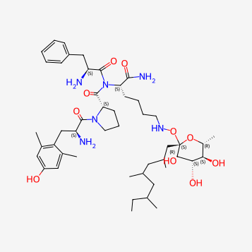 CCC(C)CC(C)CC(C)C[C@@]1(ONCCCC[C@@H](C(N)=O)N(C(=O)[C@@H](N)Cc2ccccc2)C(=O)[C@@H]2CCCN2C(=O)[C@@H](N)Cc2c(C)cc(O)cc2C)O[C@H](C)[C@@H](O)[C@H](O)[C@H]1O